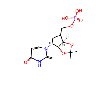 C=C1NC(=O)C=CN1[C@@H]1CC(COP(=O)(O)O)[C@H]2OC(C)(C)OC21